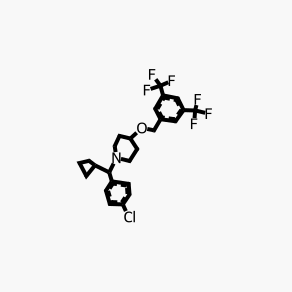 FC(F)(F)c1cc(COC2CCN(C(c3ccc(Cl)cc3)C3CCC3)CC2)cc(C(F)(F)F)c1